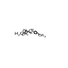 CCc1ccc(C2=NC=C(C3CCC(C(C)(C)C)CC3)CC=N2)cc1